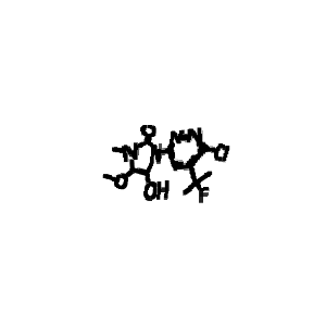 COC1C(O)N(c2cc(C(C)(C)F)c(Cl)nn2)C(=O)N1C